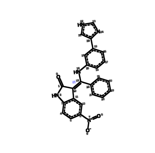 O=C1Nc2ccc([N+](=O)[O-])cc2/C1=C(/Nc1cccc(-c2c[nH]cn2)c1)c1ccccc1